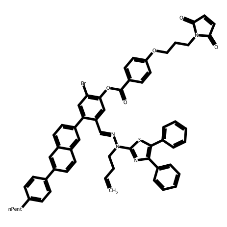 C=CCCN(/N=C/c1cc(OC(=O)c2ccc(OCCCN3C(=O)C=CC3=O)cc2)c(Br)cc1-c1ccc2cc(-c3ccc(CCCCC)cc3)ccc2c1)c1nc(-c2ccccc2)c(-c2ccccc2)s1